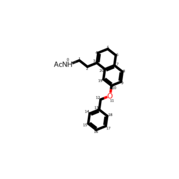 CC(=O)NCCC1=CCCc2ccc(OCc3ccccc3)cc21